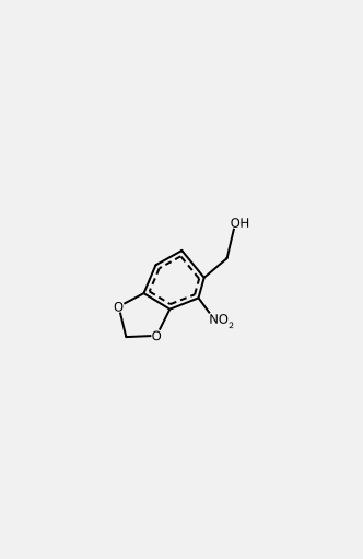 O=[N+]([O-])c1c(CO)ccc2c1OCO2